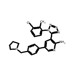 Cc1c(Cl)cccc1-n1nnnc1-c1cc(-c2ccc(CN3CCCC3)cc2)cnc1N